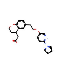 O=C(O)CC1CCOc2ccc(CCOc3ccc(-n4cccc4)nc3)cc21